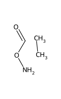 CC.NOC=O